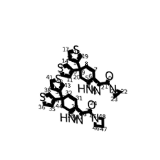 O=C(c1n[nH]c2c1C=CC(c1ccsc1)(c1ccsc1)C2)N1CC1.O=C(c1n[nH]c2c1C=CC(c1ccsc1)(c1ccsc1)C2)N1CCC1